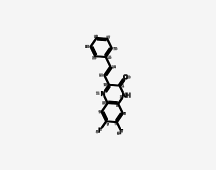 O=c1[nH]c2cc(F)c(F)cc2nc1/C=C/c1ccccc1